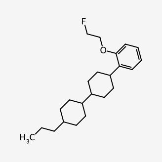 CCCC1CCC(C2CCC(c3ccccc3OCCF)CC2)CC1